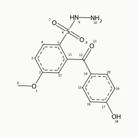 COc1ccc(S(=O)(=O)NN)c(C(=O)c2ccc(O)cc2)c1